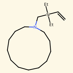 C=C[Si](CC)(CC)CN1CCCCCCCCCCCC1